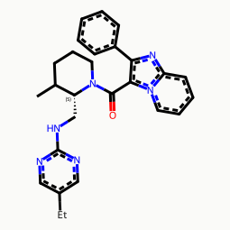 CCc1cnc(NC[C@@H]2C(C)CCCN2C(=O)c2c(-c3ccccc3)nc3ccccn23)nc1